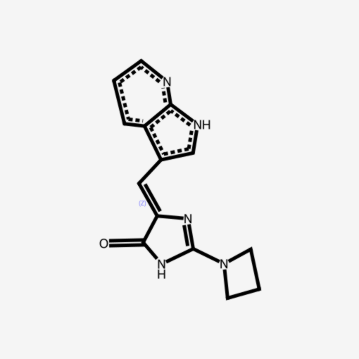 O=C1NC(N2CCC2)=N/C1=C\c1c[nH]c2ncccc12